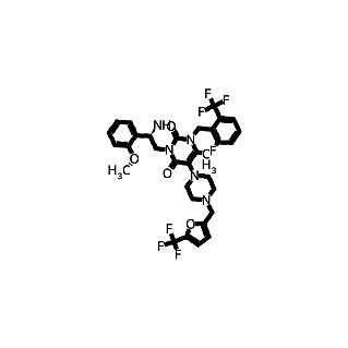 COc1ccccc1[C@H](N)Cn1c(=O)c(N2CCN(Cc3ccc(C(F)(F)F)o3)CC2)c(C)n(Cc2c(F)cccc2C(F)(F)F)c1=O